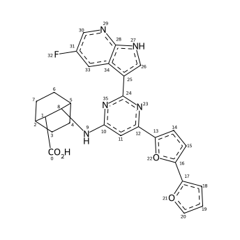 O=C(O)C1C2CCC(CC2)C1Nc1cc(-c2ccc(-c3ccco3)o2)nc(-c2c[nH]c3ncc(F)cc23)n1